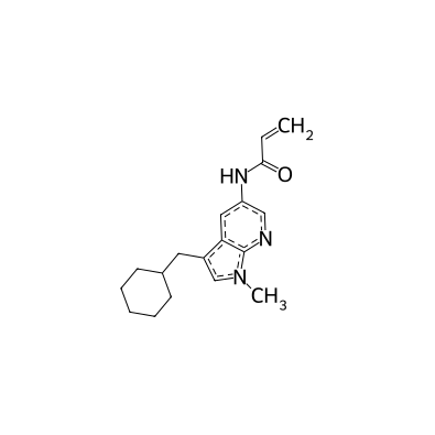 C=CC(=O)Nc1cnc2c(c1)c(CC1CCCCC1)cn2C